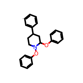 [c]1cccc(C2CCN(Oc3ccccc3)C(Oc3ccccc3)C2)c1